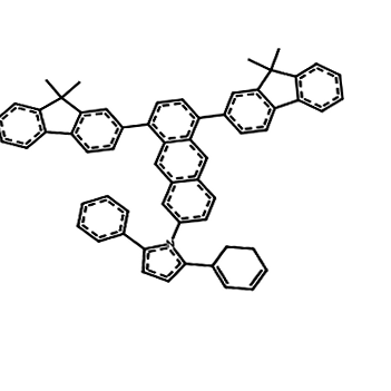 CC1(C)c2ccccc2-c2ccc(-c3ccc(-c4ccc5c(c4)C(C)(C)c4ccccc4-5)c4cc5cc(-n6c(C7=CC=CCC7)ccc6-c6ccccc6)ccc5cc34)cc21